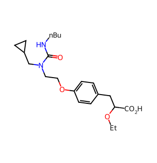 CCCCNC(=O)N(CCOc1ccc(CC(OCC)C(=O)O)cc1)CC1CC1